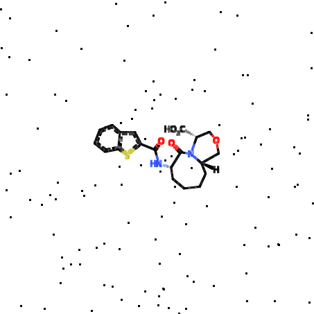 O=C(N[C@H]1CCCC[C@H]2COC[C@@H](C(=O)O)N2C1=O)c1cc2ccccc2s1